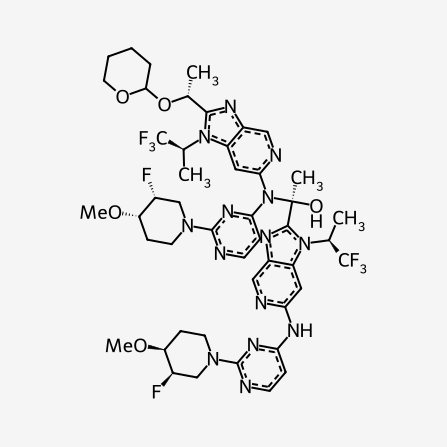 CO[C@H]1CCN(c2nccc(Nc3cc4c(cn3)nc([C@](C)(O)N(c3cc5c(cn3)nc([C@@H](C)OC3CCCCO3)n5[C@@H](C)C(F)(F)F)c3ccnc(N5CC[C@H](OC)[C@H](F)C5)n3)n4[C@@H](C)C(F)(F)F)n2)C[C@H]1F